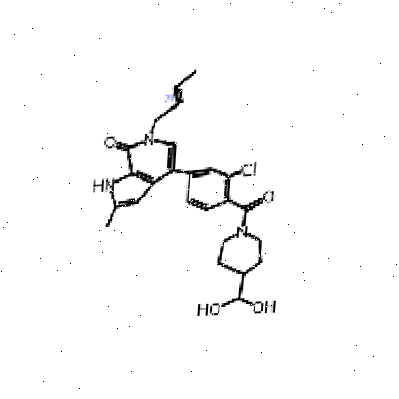 C/C=C/Cn1cc(-c2ccc(C(=O)N3CCC(C(O)O)CC3)c(Cl)c2)c2cc(C)[nH]c2c1=O